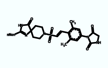 CCCCCCCCCC1=NC2(CCN(S(=O)(=O)/C=C/c3c(C)cc(N4C(=O)CNC4=O)cc3C)CC2)C(=O)N1